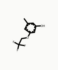 Cc1cc(O)cc(OCC(F)(F)F)c1